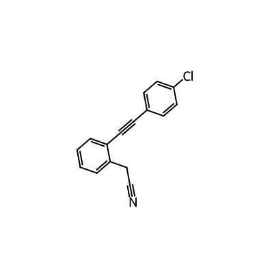 N#CCc1ccccc1C#Cc1ccc(Cl)cc1